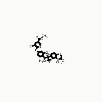 COC(=O)c1cnc(Oc2ccc([C@H](C)[C@](O)(c3ccc4c(c3)N(C)C(=O)CO4)C(F)(F)F)c(Cl)c2)c(Cl)c1